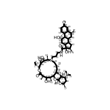 CC[C@H]1OC(=O)[C@H](C)C(O)[C@H](C)C2O[C@@H]3O[C@H](C)C[C@@H](N(C)C)[C@H]3O[C@]2(C)C[C@@H](C)CN(CCCNC(=O)[C@@]2(O)[C@H](C)CC3C4C[C@H](F)C5=CC(=O)C=C[C@]5(C)C4[C@@H](O)C[C@@]32C)[C@H](C)[C@@H](O)[C@]1(C)O